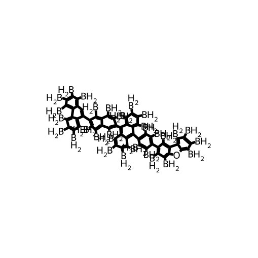 Bc1c(B)c(-c2c3c(B)c(B)c(B)c(B)c3c(-c3c(B)c(B)c4c(B)c(-c5cc6c(B)c(B)c(B)c(B)c6c6c(B)c(B)c(B)c(B)c56)c(B)c(B)c4c3B)c3c(B)c(B)c(B)c(B)c23)c(B)c(B)c1-c1c(B)c(B)c2oc3c(B)c(B)c(B)c(B)c3c2c1B